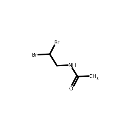 CC(=O)NCC(Br)Br